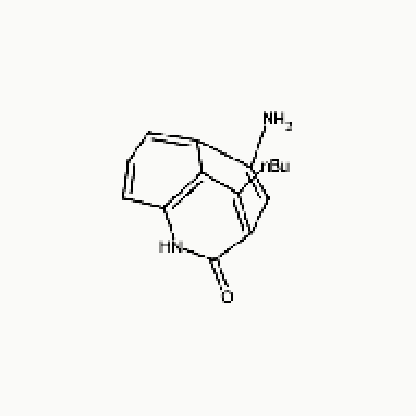 CCCCc1c2cc(N)c3cccc([nH]c2=O)c13